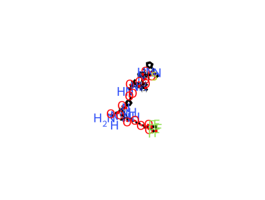 CC[C@H](C)[C@@H]([C@@H](CC(=O)N1CCC[C@H]1[C@H](OC)[C@@H](C)C(=O)NC(Cc1ccccc1)c1nccs1)OC)N(C)C(=O)[C@@H](NC(=O)C(C)(C)NC(=O)OCc1ccc(NC(=O)[C@H](CCCNC(N)=O)NC(=O)[C@@H](NC(=O)CCOCCOCCC(=O)Oc2c(F)c(F)c(F)c(F)c2F)C(C)C)cc1)C(C)C